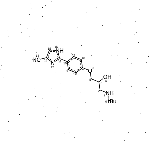 CC(C)(C)NCC(O)COc1ccc(-c2nc(C#N)c[nH]2)cc1